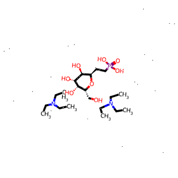 CCN(CC)CC.CCN(CC)CC.O=P(O)(O)CC[C@H]1O[C@H](CO)[C@H](O)[C@H](O)[C@H]1O